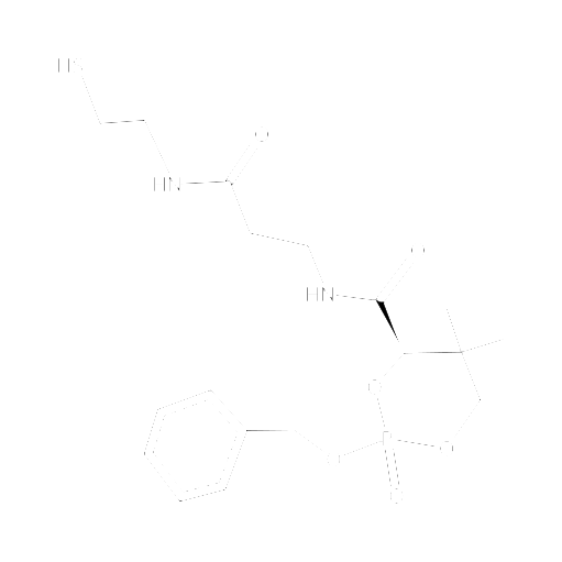 CC1(C)COP(=O)(OCc2ccccc2)O[C@H]1C(=O)NCCC(=O)NCCS